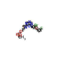 CCS(=O)(=O)CCOCCCc1nc(-c2cc3c(Nc4ccc(OCc5cccc(F)c5)c(Br)c4)ncnc3cn2)cs1